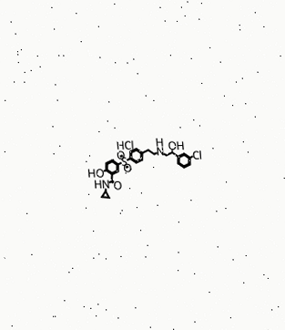 Cl.O=C(NC1CC1)c1cc(S(=O)(=O)c2ccc(CCNC[C@@H](O)c3cccc(Cl)c3)cc2)ccc1O